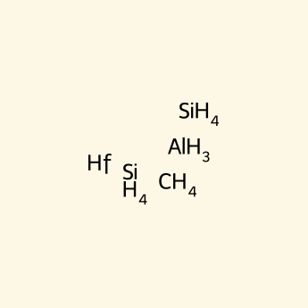 C.[AlH3].[Hf].[SiH4].[SiH4]